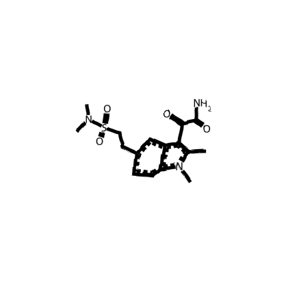 Cc1c(C(=O)C(N)=O)c2cc(CCS(=O)(=O)N(C)C)ccc2n1C